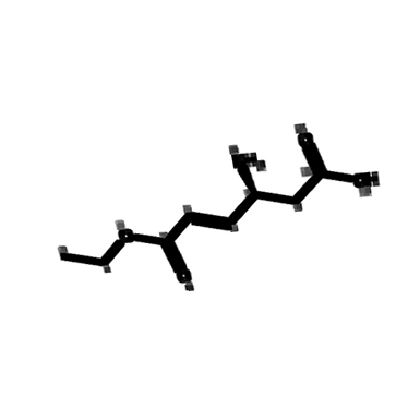 CCOC(=O)/C=C/[C@@H](N)CC(=O)O